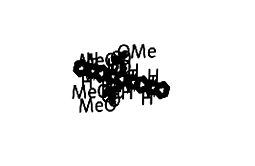 COOP(=O)(OOC)Oc1c2c(c(OP(=O)(OOC)OOC)c3c1[C@H]1C[C@@H]3c3cc4c(cc31)[C@H]1C[C@@H]4c3ccccc31)[C@H]1C[C@@H]2c2cc3c(cc21)[C@H]1C[C@@H]3c2ccccc21